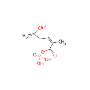 C=C(O)CC=C(C)C(=O)OP(=O)(O)O